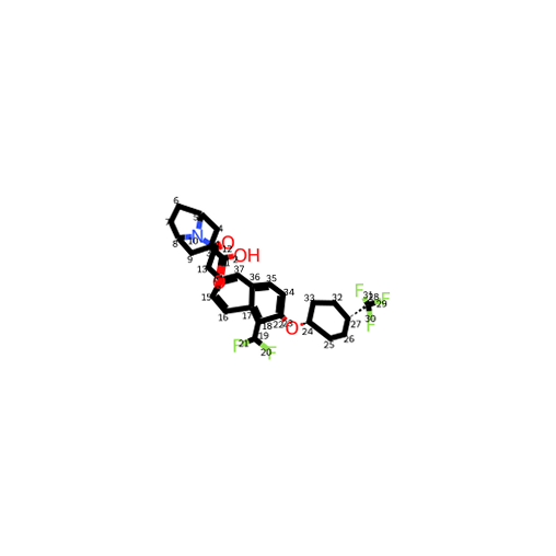 O=C(O)C1CC2CCC(C1)N2C(=O)Cc1ccc2c(C(F)F)c(O[C@H]3CC[C@@H](C(F)(F)F)CC3)ccc2c1